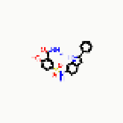 NC(=O)c1cc(S(=O)(=O)Nc2ccc3cc(-c4ccccc4)[nH]c3c2)ccc1O